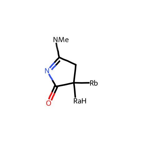 CNC1=NC(=O)[C]([Rb])([RaH])C1